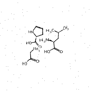 CC(C)C[C@H](N)C(=O)O.NCC(=O)O.O=C(O)[C@@H]1CCCN1